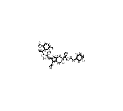 COc1ccc(C)cc1C(C)CC(=O)Nc1sc2c(c1C#N)CCN(C(=O)OCCc1ccncc1)C2